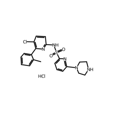 Cc1ccccc1-c1nc(NS(=O)(=O)c2cccc(N3CCNCC3)n2)ccc1Cl.Cl